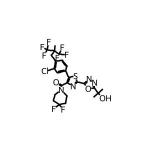 CC(C)(O)c1nnc(-c2nc(C(=O)N3CCC(F)(F)CC3)c(-c3ccc(CC(C)(C(F)(F)F)C(F)(F)F)c(Cl)c3)s2)o1